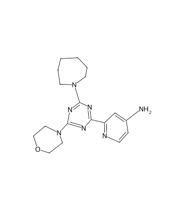 Nc1ccnc(-c2nc(N3CCCCCC3)nc(N3CCOCC3)n2)c1